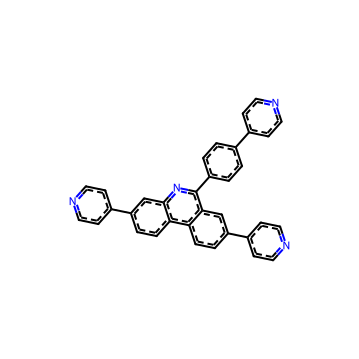 c1cc(-c2ccc(-c3nc4cc(-c5ccncc5)ccc4c4ccc(-c5ccncc5)cc34)cc2)ccn1